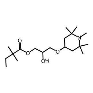 CCC(C)(C)C(=O)OCC(O)COC1CC(C)(C)N(C)C(C)(C)C1